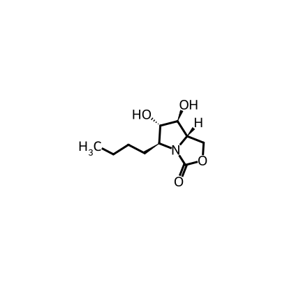 CCCC[C@H]1[C@H](O)[C@@H](O)[C@@H]2COC(=O)N12